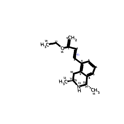 C=C(/C=C/c1cccc2c1C[C@H](C)N[C@H]2C)OCC